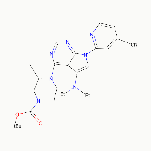 CCN(CC)c1cn(-c2cc(C#N)ccn2)c2ncnc(N3CCN(C(=O)OC(C)(C)C)CC3C)c12